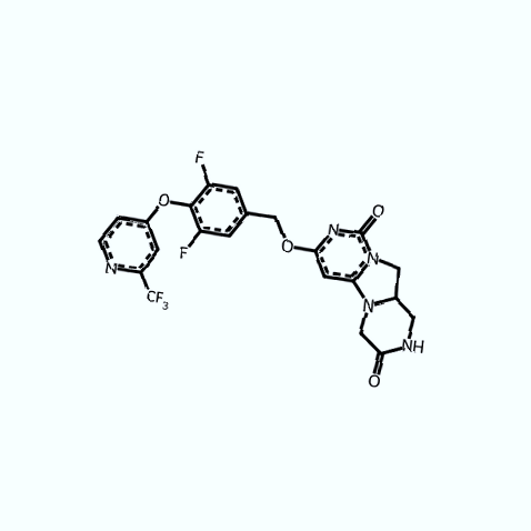 O=C1CN2c3cc(OCc4cc(F)c(Oc5ccnc(C(F)(F)F)c5)c(F)c4)nc(=O)n3CC2CN1